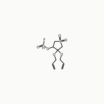 C=CCOC1(OCC=C)CS(=O)(=O)CC1O[PH](=O)F